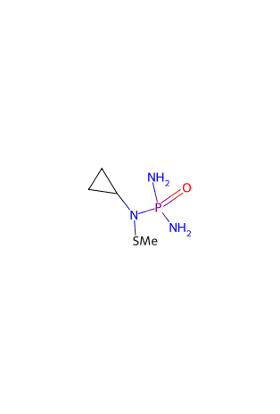 CSN(C1CC1)P(N)(N)=O